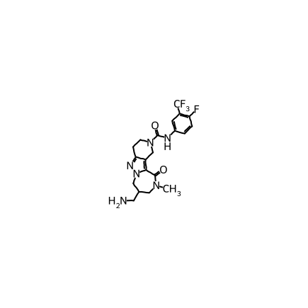 CN1CC(CN)Cn2nc3c(c2C1=O)CN(C(=O)Nc1ccc(F)c(C(F)(F)F)c1)CC3